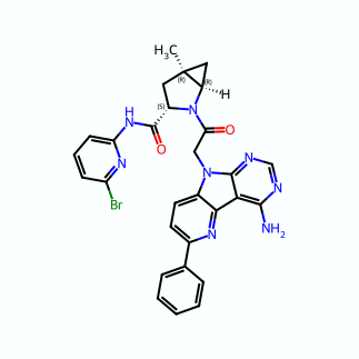 C[C@@]12C[C@@H](C(=O)Nc3cccc(Br)n3)N(C(=O)Cn3c4ccc(-c5ccccc5)nc4c4c(N)ncnc43)[C@@H]1C2